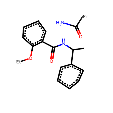 CC(C)C(N)=O.CCOc1ccccc1C(=O)NC(C)c1c[c]ccc1